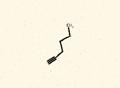 [C]#CCC[CH]C